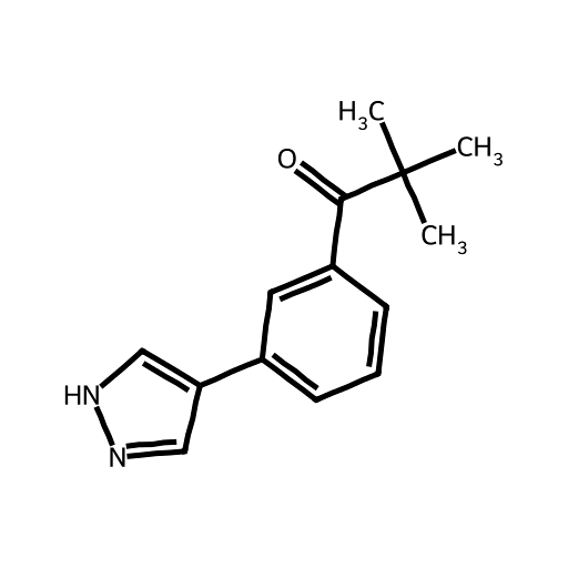 CC(C)(C)C(=O)c1cccc(-c2cn[nH]c2)c1